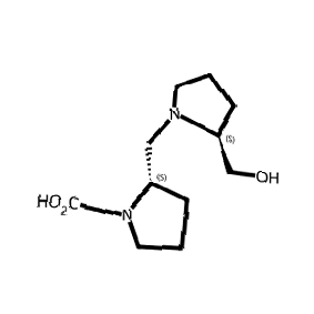 O=C(O)N1CCC[C@H]1CN1CCC[C@H]1CO